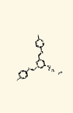 Cc1ccc(N=Cc2cc(Cl)cc(C=Nc3ccc(C)cc3)n2)cc1.[Cl-].[Cl-].[Cl-].[V+3]